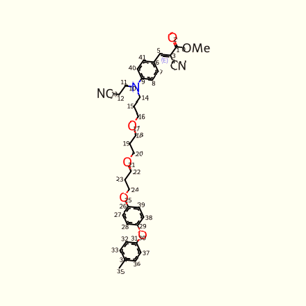 COC(=O)/C(C#N)=C/c1ccc(N(CCC#N)CCCOCCCOCCCOc2ccc(Oc3ccc(C)cc3)cc2)cc1